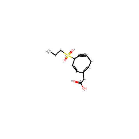 CCCS(=O)(=O)C1C#CC/C=C(CC(=O)O)\C=C/1